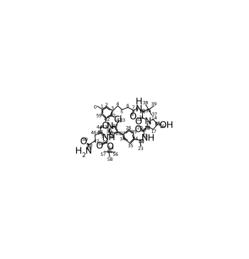 Cc1cc(CCCC(=O)N[C@H](C(=O)N2C[C@H](O)C[C@H]2C(=O)N[C@@H](C)c2ccc(-c3scnc3C)cc2)C(C)(C)C)c(Cl)c(OC[C@H](CCC(N)=O)NC(=O)OC(C)(C)C)c1